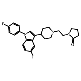 O=C1CCCN1CCN1CCC(c2cn(-c3ccc(F)cc3)c3ccc(F)cc23)CC1